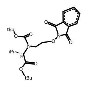 CC(C)[C@@H](C(=O)OC(C)(C)C)N(CCON1C(=O)c2ccccc2C1=O)C(=O)OC(C)(C)C